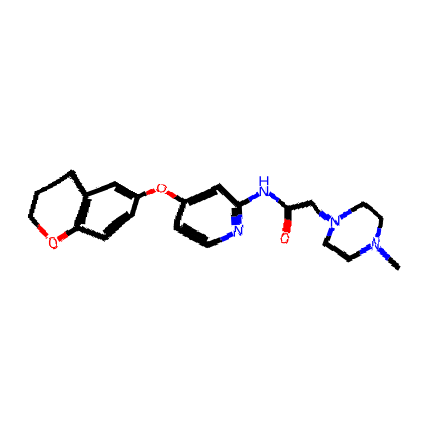 CN1CCN(CC(=O)Nc2cc(Oc3ccc4c(c3)CCCO4)ccn2)CC1